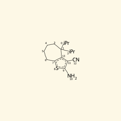 CC(C)C1(C(C)C)CCCCc2sc(N)c(C#N)c21